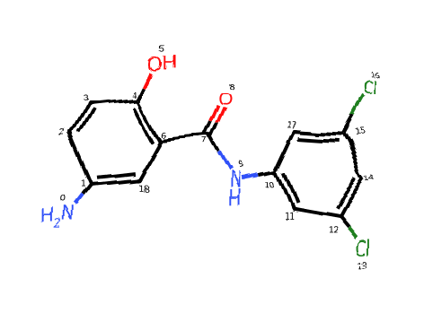 Nc1ccc(O)c(C(=O)Nc2cc(Cl)cc(Cl)c2)c1